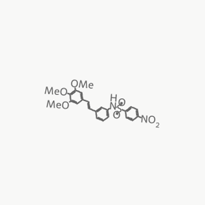 COc1cc(C=Cc2cccc(NS(=O)(=O)c3ccc([N+](=O)[O-])cc3)c2)cc(OC)c1OC